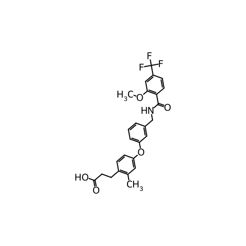 COc1cc(C(F)(F)F)ccc1C(=O)NCc1cccc(Oc2ccc(CCC(=O)O)c(C)c2)c1